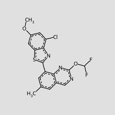 COc1cc(Cl)c2nc(-c3cc(C)cc4cnc(OC(F)F)nc34)sc2c1